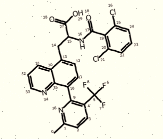 Cc1ccc(C(F)(F)F)c(-c2ccc(CC(NC(=O)c3c(Cl)cccc3Cl)C(=O)O)c3cccnc23)n1